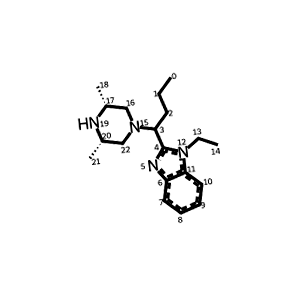 CCCC(c1nc2ccccc2n1CC)N1C[C@@H](C)N[C@@H](C)C1